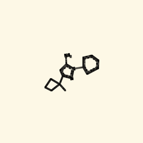 CC1(c2cc(N)n(-c3ccccc3)n2)CCC1